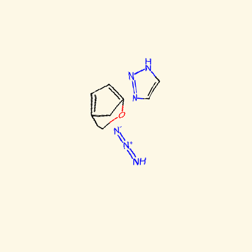 C1=C2COC(=C1)C2.[N-]=[N+]=N.c1c[nH]nn1